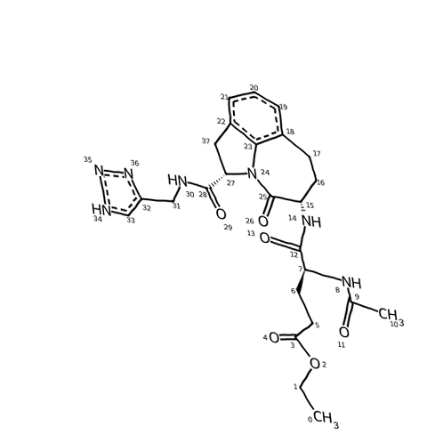 CCOC(=O)CC[C@H](NC(C)=O)C(=O)N[C@H]1CCc2cccc3c2N(C1=O)[C@H](C(=O)NCc1c[nH]nn1)C3